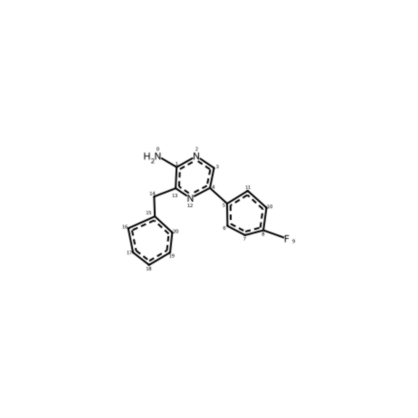 Nc1ncc(-c2ccc(F)cc2)nc1Cc1ccccc1